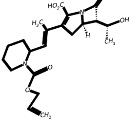 C=CCOC(=O)N1CCCCC1C=C(C)C1=C(C(=O)O)N2C(=O)[C@H]([C@@H](C)O)[C@H]2C1